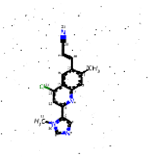 Cc1cc2nc(-c3cncn3C)cc(Cl)c2cc1/C=C/C#N